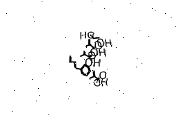 C=C(C)C(=O)O.C=C(C)C(=O)O.C=C(C)C(=O)O.C=CC=Cc1ccccc1.OCCO